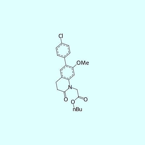 CCCCOC(=O)CN1C(=O)CCc2cc(-c3ccc(Cl)cc3)c(OC)cc21